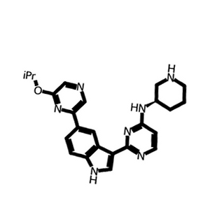 CC(C)Oc1cncc(-c2ccc3[nH]cc(-c4nccc(N[C@@H]5CCCNC5)n4)c3c2)n1